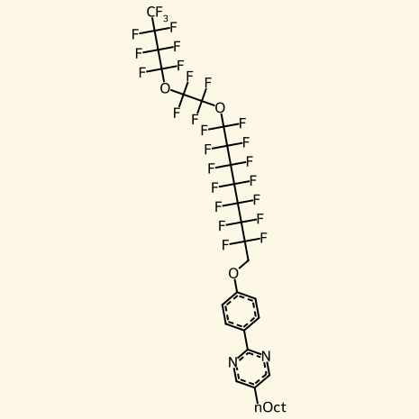 CCCCCCCCc1cnc(-c2ccc(OCC(F)(F)C(F)(F)C(F)(F)C(F)(F)C(F)(F)C(F)(F)C(F)(F)OC(F)(F)C(F)(F)OC(F)(F)C(F)(F)C(F)(F)C(F)(F)F)cc2)nc1